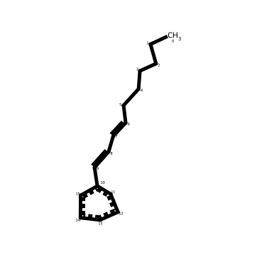 CCCCCCC=CC=Cc1ccccc1